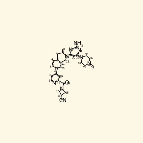 CC1Cc2ccc(-c3ccnc(C(=O)N4CC(C#N)C4)c3)cc2CN1c1cc(N2CCN(C)CC2)nc(N)n1